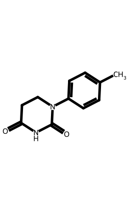 Cc1ccc(N2CCC(=O)NC2=O)cc1